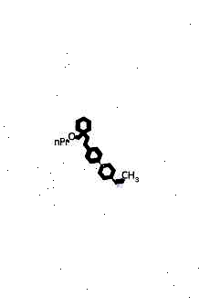 C/C=C\[C@H]1CC[C@H](c2ccc(CCC3(COCCC)C=CCC=C3)cc2)CC1